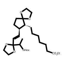 CCCCCCC(C)C1(C=C[C@H]2CCC3(OCCO3)[C@@H]2CCCCCCC(=O)OCC)OCCO1